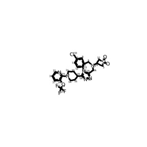 O=S1(=O)CC(N2Cc3cc(Cl)ccc3-n3c(nnc3C3CCN(c4ncccc4OC(F)(F)F)CC3)C2)C1